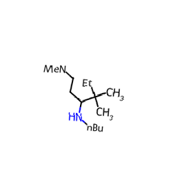 CCCCNC(CCNC)C(C)(C)CC